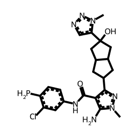 Cn1nncc1C1(O)CC2CC(c3nn(C)c(N)c3C(=O)Nc3ccc(P)c(Cl)c3)CC2C1